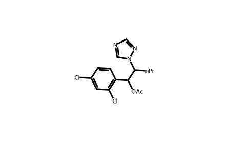 CCCC(C(OC(C)=O)c1ccc(Cl)cc1Cl)n1cncn1